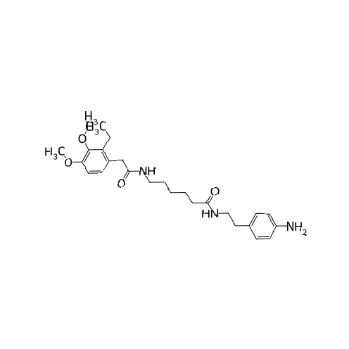 CCc1c(CC(=O)NCCCCCC(=O)NCCc2ccc(N)cc2)ccc(OC)c1OC